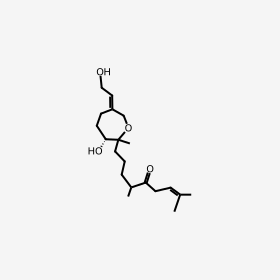 CC(C)=CCC(=O)C(C)CCCC1(C)OC/C(=C/CO)CC[C@H]1O